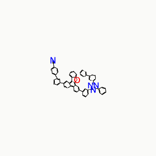 N#Cc1ccc(-c2cccc(-c3ccc4c5ccc(-c6cccc(-c7nc(-c8ccccc8)nc(-c8cccc(-c9ccccc9)c8)n7)c6)cc5c5oc6ccccc6c5c4c3)c2)cc1